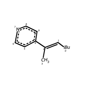 CCC(C)C=C(C)c1ccncc1